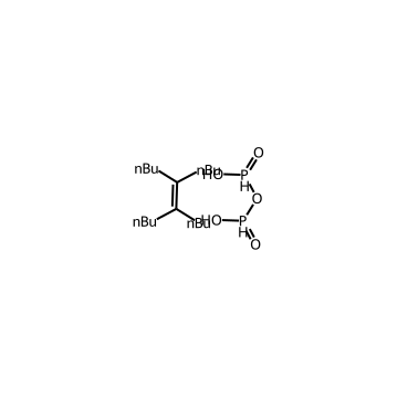 CCCCC(CCCC)=C(CCCC)CCCC.O=[PH](O)O[PH](=O)O